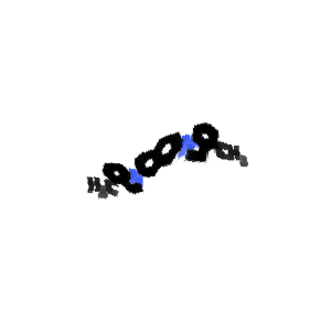 Cc1cccc2c1CCN2C1=CC2=C/C(=[N+]3\CCc4c(C)cccc43)CCC2CC1